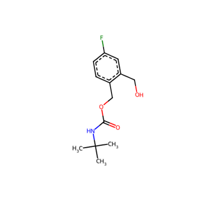 CC(C)(C)NC(=O)OCc1ccc(F)cc1CO